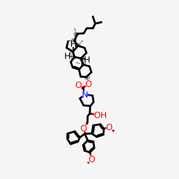 COc1ccc(C(OCCC(O)C2CCN(C(=O)O[C@H]3CC[C@@]4(C)C(=CC[C@H]5[C@@H]6CC[C@H]([C@H](C)CCCC(C)C)[C@@]6(C)CC[C@@H]54)C3)CC2)(c2ccccc2)c2ccc(OC)cc2)cc1